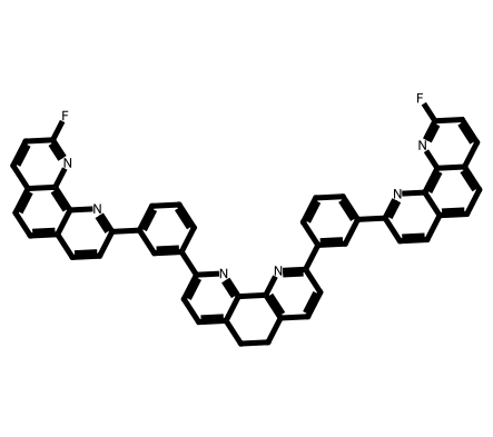 Fc1ccc2ccc3ccc(-c4cccc(-c5ccc6c(n5)-c5nc(-c7cccc(-c8ccc9ccc%10ccc(F)nc%10c9n8)c7)ccc5CC6)c4)nc3c2n1